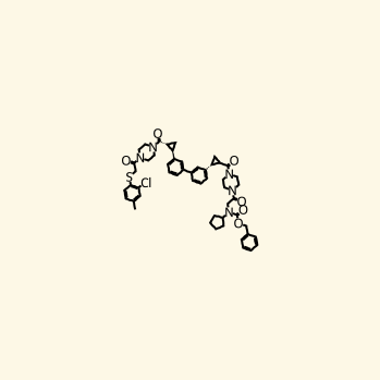 Cc1ccc(SCC(=O)N2CCN(C(=O)[C@@H]3C[C@H]3c3cccc(-c4cccc([C@@H]5CC5C(=O)N5CCN(C(=O)CN(C(=O)OCc6ccccc6)C6CCCC6)CC5)c4)c3)CC2)c(Cl)c1